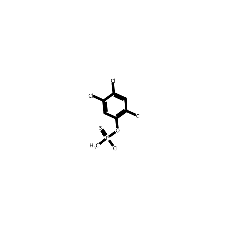 CP(=S)(Cl)Oc1cc(Cl)c(Cl)cc1Cl